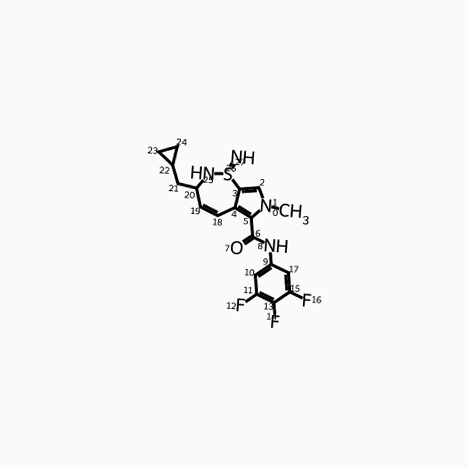 Cn1cc2c(c1C(=O)Nc1cc(F)c(F)c(F)c1)C=CC(CC1CC1)NS2=N